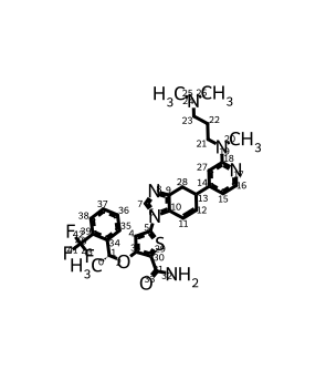 C[C@@H](Oc1cc(-n2cnc3c2C=CC(c2ccnc(N(C)CCCN(C)C)c2)C3)sc1C(N)=O)c1ccccc1C(F)(F)F